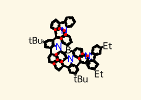 CCc1ccc2c(c1)c1cc(CC)ccc1n2-c1ccc2c(c1)N(c1c(-c3ccccc3)cc(C(C)(C)C)cc1-c1ccccc1)c1cccc3c1B2c1ccc(-n2c4ccccc4c4ccccc42)cc1N3c1c(-c2ccccc2)cc(C(C)(C)C)cc1-c1ccccc1